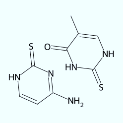 Cc1c[nH]c(=S)[nH]c1=O.Nc1cc[nH]c(=S)n1